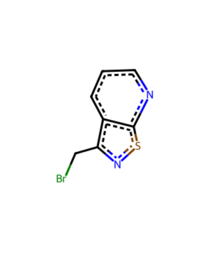 BrCc1nsc2ncccc12